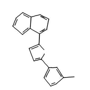 Cc1cccc(-c2ccc(-c3cccc4ccccc34)s2)c1